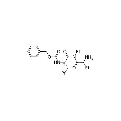 CCC(N)C(=O)N(CC)C(=O)[C@H](CC(C)C)NC(=O)OCc1ccccc1